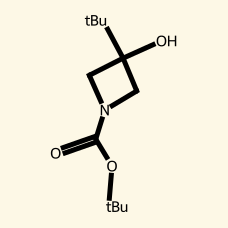 CC(C)(C)OC(=O)N1CC(O)(C(C)(C)C)C1